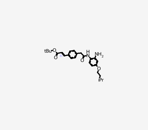 CC(C)CCOc1ccc(NC(=O)Cc2ccc(/C=C/C(=O)OC(C)(C)C)cc2)c(N)c1